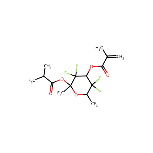 C=C(C)C(=O)OC1C(F)(F)C(C(F)(F)F)OC(OC(=O)C(C)C(F)(F)F)(C(F)(F)F)C1(F)F